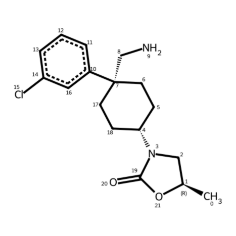 C[C@@H]1CN([C@H]2CC[C@](CN)(c3cccc(Cl)c3)CC2)C(=O)O1